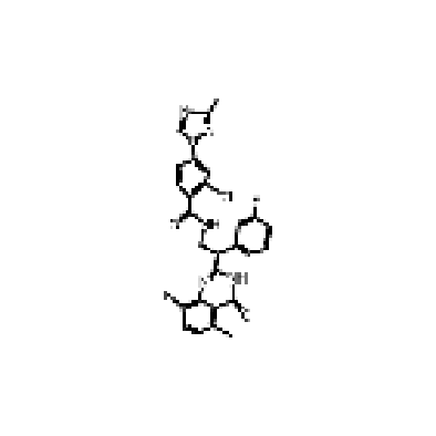 Cc1ncn(-c2ccc(C(=O)NCC(c3cccc(F)c3)c3nc4c(F)ccc(C)c4c(=O)[nH]3)c(Cl)c2)n1